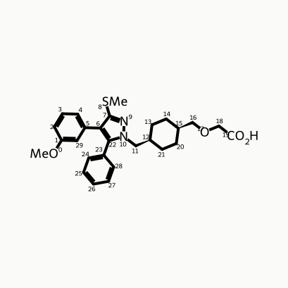 COc1cccc(-c2c(SC)nn(C[C@H]3CC[C@@H](COCC(=O)O)CC3)c2-c2ccccc2)c1